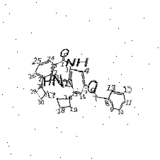 O=C1Nc2cc(OCc3ccccc3)cc(C3CCC3)c2Nc2c1cccc2C1CCC1